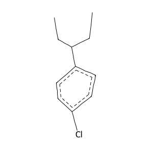 CCC(CC)c1ccc(Cl)cc1